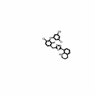 N#Cc1cc(Cl)cc(Oc2c(Cl)ccc(Cc3nnc(-c4cccc5c4NCCC5)o3)c2F)c1